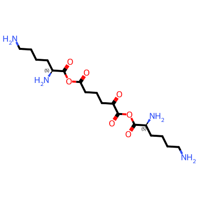 NCCCC[C@H](N)C(=O)OC(=O)CCCC(=O)C(=O)OC(=O)[C@@H](N)CCCCN